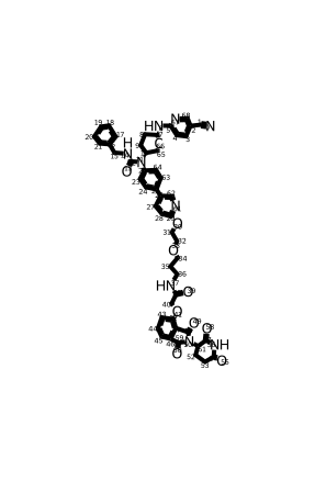 N#Cc1ccc(N[C@H]2CC[C@H](N(C(=O)NCc3ccccc3)c3ccc(-c4ccc(OCCOCCCNC(=O)COc5cccc6c5C(=O)N(C5CCC(=O)NC5=O)C6=O)nc4)cc3)CC2)nc1